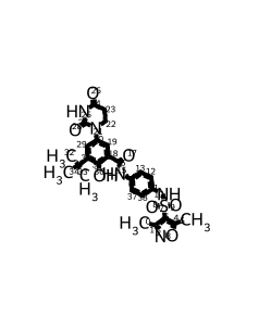 Cc1noc(C)c1S(=O)(=O)Nc1ccc(NC(=O)c2cc(N3CCC(=O)NC3=O)cc(C(C)(C)C)c2O)cc1